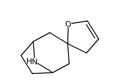 C1=COC2(C1)CC1CCC(C2)N1